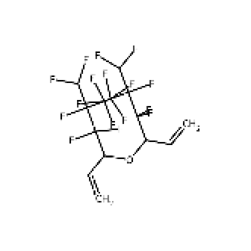 C=CC(OC(C=C)C(F)(F)C(F)(C(F)F)C(F)(F)F)C(F)(F)C(F)(C(F)F)C(F)(F)F